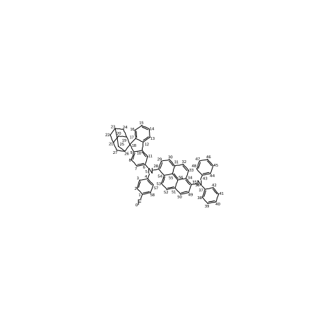 Fc1ccc(N(c2ccc3c(c2)-c2ccccc2C32C3CC4CC(C3)CC2C4)c2ccc3ccc4c(N(c5ccccc5)c5ccccc5)ccc5ccc2c3c54)cc1